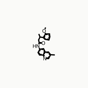 COc1ccccc1C(C)CC(=O)Nc1ccc2ncc(C)cc2c1